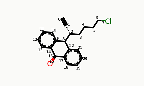 C#C[C@H](CCCCCl)C1c2ccccc2C(=O)c2ccccc21